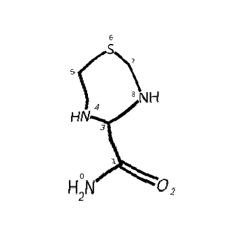 NC(=O)C1NCSCN1